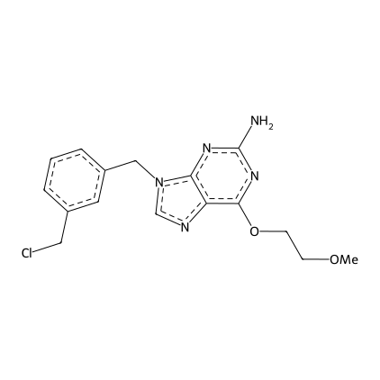 COCCOc1nc(N)nc2c1ncn2Cc1cccc(CCl)c1